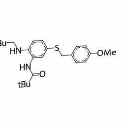 COc1ccc(CSc2ccc(NCC(C)(C)C)c(NC(=O)C(C)(C)C)c2)cc1